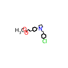 COC(=O)/C=C/c1ccc([C@@H]2CCCN2CCc2ccc(Cl)cc2)cc1